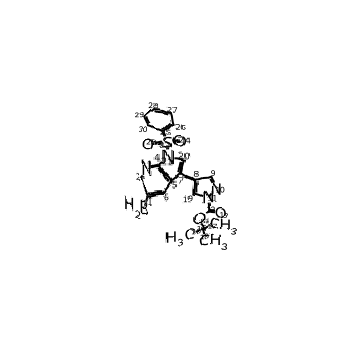 Bc1cnc2c(c1)c(-c1cnn(C(=O)OC(C)(C)C)c1)cn2S(=O)(=O)c1ccccc1